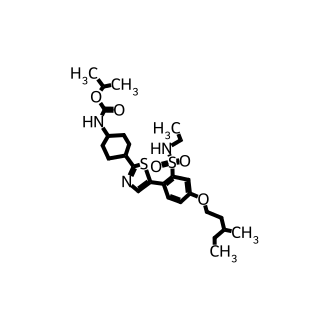 CCNS(=O)(=O)c1cc(OCCC(C)CC)ccc1-c1cnc(C2CCC(NC(=O)OC(C)C)CC2)s1